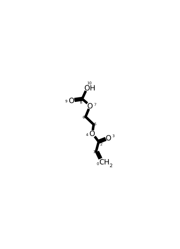 C=CC(=O)OCCOC(=O)O